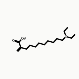 C=C(CCCCCCCCCN(CC)CC)C(=O)O